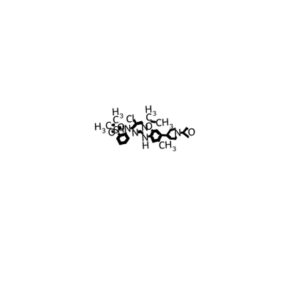 Cc1cc(Nc2ncc(Cl)c(Nc3ccccc3S(=O)(=O)C(C)C)n2)c(OC(C)C)cc1C1=CCN(C2COC2)CC1